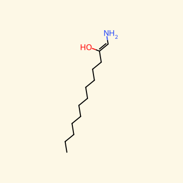 CCCCCCCCCCCC(O)=CN